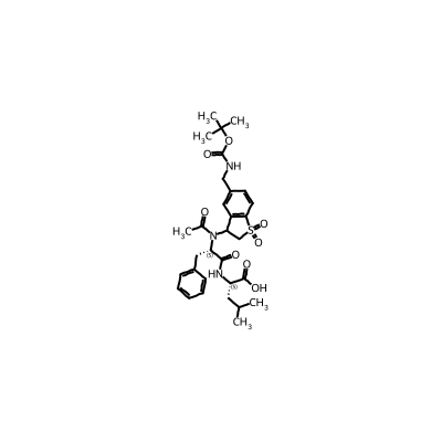 CC(=O)N(C1CS(=O)(=O)c2ccc(CNC(=O)OC(C)(C)C)cc21)[C@@H](Cc1ccccc1)C(=O)N[C@@H](CC(C)C)C(=O)O